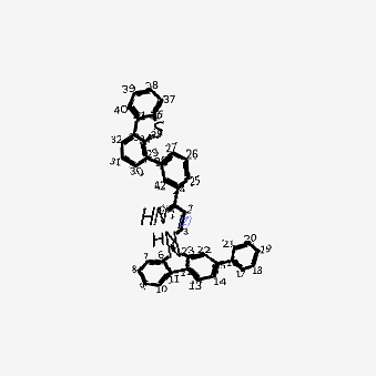 N=C(/C=C\Nn1c2ccccc2c2ccc(-c3ccccc3)cc21)c1cccc(-c2cccc3c2sc2ccccc23)c1